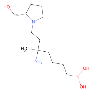 C[C@@](N)(CCCCB(O)O)CCN1CCC[C@H]1CO